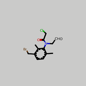 Cc1ccc(CBr)c(C)c1N(CC=O)C(=O)CCl